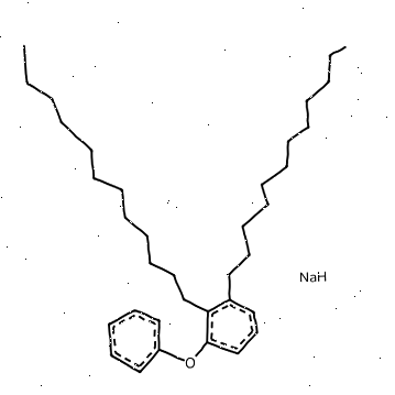 CCCCCCCCCCCCc1cccc(Oc2ccccc2)c1CCCCCCCCCCCC.[NaH]